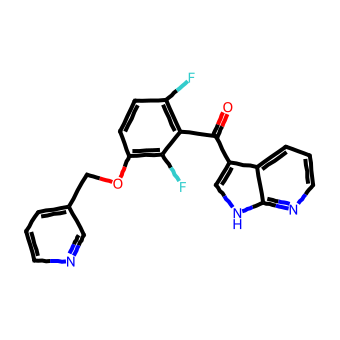 O=C(c1c(F)ccc(OCc2cccnc2)c1F)c1c[nH]c2ncccc12